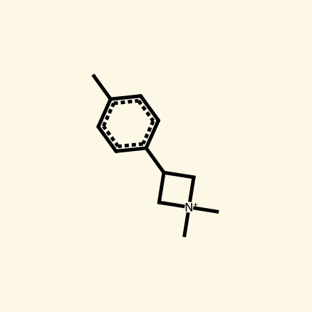 Cc1ccc(C2C[N+](C)(C)C2)cc1